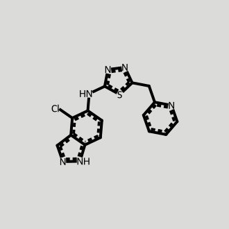 Clc1c(Nc2nnc(Cc3ccccn3)s2)ccc2[nH]ncc12